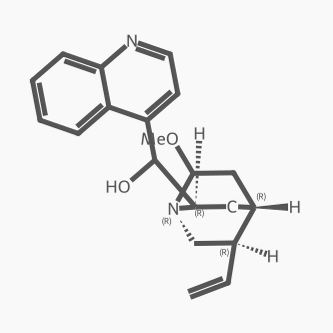 C=C[C@H]1C[N@]2C(OC)C[C@H]1C[C@@H]2C(O)c1ccnc2ccccc12